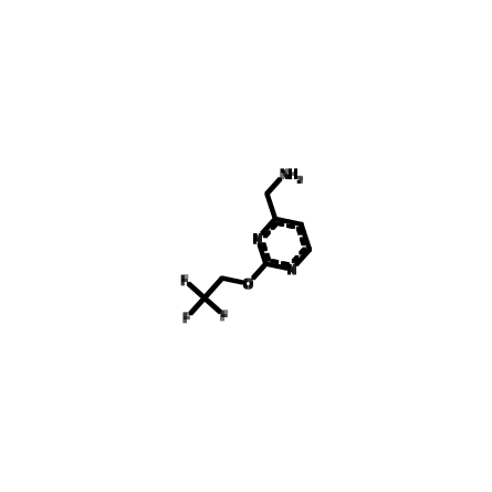 NCc1ccnc(OCC(F)(F)F)n1